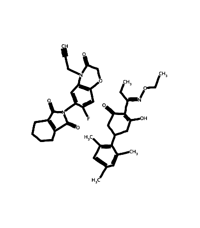 C#CCN1C(=O)COc2cc(F)c(N3C(=O)C4=C(CCCC4)C3=O)cc21.CCO/N=C(\CC)C1=C(O)CC(c2c(C)cc(C)cc2C)CC1=O